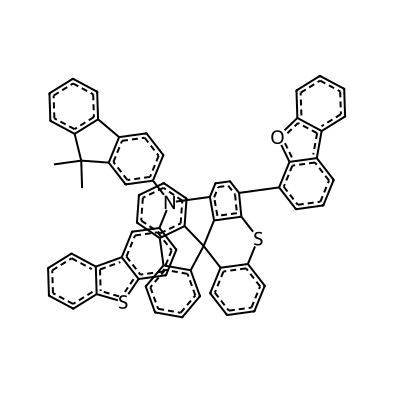 CC1(C)c2ccccc2-c2ccc(N(c3ccc4sc5ccccc5c4c3)c3ccc(-c4cccc5c4oc4ccccc45)c4c3C3(c5ccccc5S4)c4ccccc4-c4ccccc43)cc21